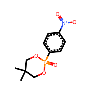 CC1(C)COP(=O)(c2ccc([N+](=O)[O-])cc2)OC1